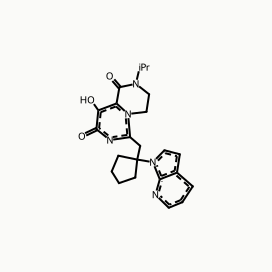 CC(C)N1CCn2c(CC3(n4ccc5cccnc54)CCCC3)nc(=O)c(O)c2C1=O